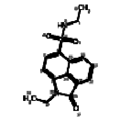 CCNS(=O)(=O)c1ccc2c3c(cccc13)C(=O)N2CC